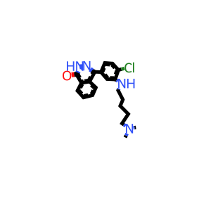 CN(C)CCCCCNc1cc(-c2n[nH]c(=O)c3ccccc23)ccc1Cl